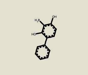 Bc1c(O)ccc(-c2ccccc2)c1O